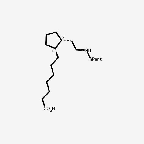 CCCCCNCC[C@H]1CCC[C@@H]1CCCCCCC(=O)O